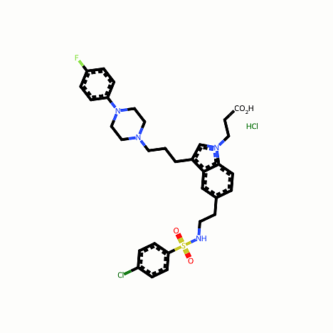 Cl.O=C(O)CCn1cc(CCCN2CCN(c3ccc(F)cc3)CC2)c2cc(CCNS(=O)(=O)c3ccc(Cl)cc3)ccc21